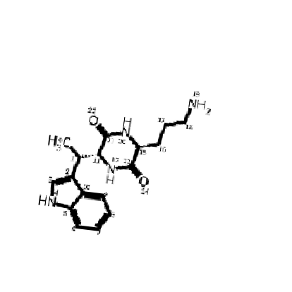 CC(c1c[nH]c2ccccc12)[C@H]1NC(=O)[C@H](CCCN)NC1=O